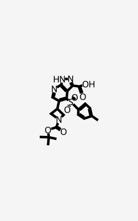 Cc1ccc(S(=O)(=O)c2c(C3CN(C(=O)OC(C)(C)C)C3)cnc3[nH]nc(C(=O)O)c23)cc1